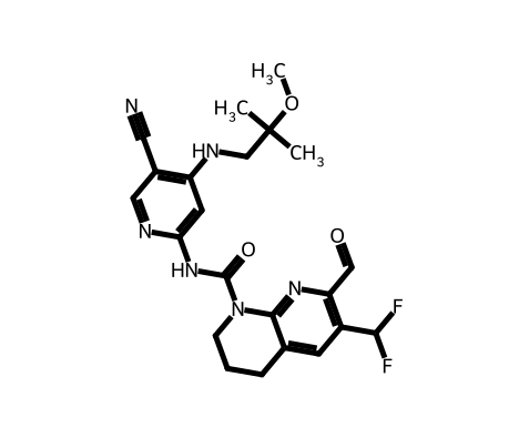 COC(C)(C)CNc1cc(NC(=O)N2CCCc3cc(C(F)F)c(C=O)nc32)ncc1C#N